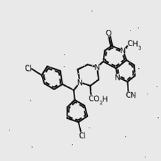 Cn1c(=O)cc(N2CCN(C(c3ccc(Cl)cc3)c3ccc(Cl)cc3)C(C(=O)O)C2)c2nc(C#N)ccc21